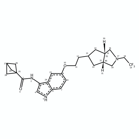 O=C(Nc1c[nH]c2ccc(OCCC3C[C@@H]4CN(CC(F)(F)F)C[C@@H]4C3)cc12)C12CC(C1)C2